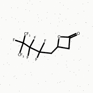 O=C1CC(CC(F)(F)C(F)(F)C(F)(C(F)(F)F)C(F)(F)F)O1